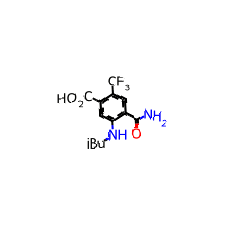 CCC(C)Nc1cc(C(=O)O)c(C(F)(F)F)cc1C(N)=O